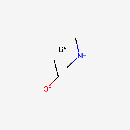 CC[O-].CNC.[Li+]